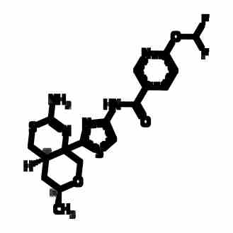 C[C@H]1C[C@H]2CSC(N)=NC2(c2nc(NC(=O)c3ccc(OC(F)F)nc3)cs2)CO1